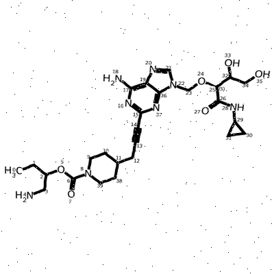 CCC(CN)OC(=O)N1CCC(CC#Cc2nc(N)c3ncn(CO[C@H](C(=O)NC4CC4)C(O)CO)c3n2)CC1